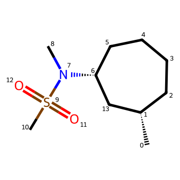 C[C@H]1CCCC[C@@H](N(C)S(C)(=O)=O)C1